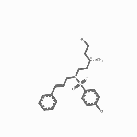 C[C@@H](CCO)CCN(CC=Cc1ccccc1)S(=O)(=O)c1ccc(Cl)cc1